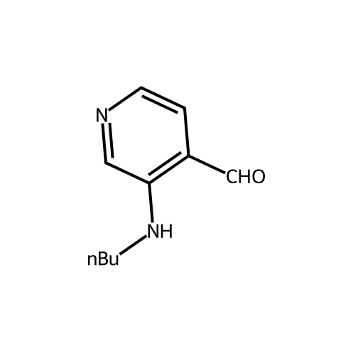 CCCCNc1cnccc1C=O